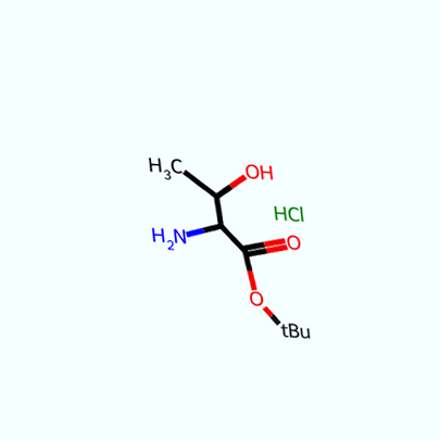 CC(O)C(N)C(=O)OC(C)(C)C.Cl